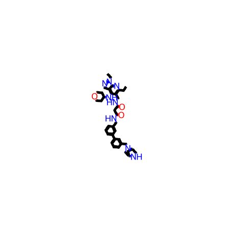 CCc1nc2c(cnn2CC)c(NC2CCOCC2)c1CNC(=O)CC(=O)NCc1cccc(-c2cccc(CN3CC4CC3CN4)c2)c1